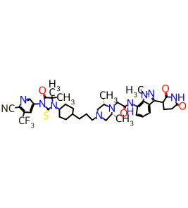 C[C@@H]1CN(CCCC2CCC(N3C(=S)N(c4cnc(C#N)c(C(F)(F)F)c4)C(=O)C3(C)C)CC2)C[C@H](C)N1CC(=O)Nc1cccc2c(C3CCC(=O)NC3=O)nn(C)c12